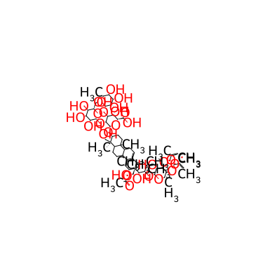 C/C=C(/C)C(=O)O[C@@H]1[C@@H](O)[C@H](O[C@H]2[C@H](O)[C@@]3(COC(C)=O)C(CC2(C)C)C2=CCC4[C@@]5(C)CC[C@H](O[C@@H]6O[C@H](C(=O)O)[C@@H](O)[C@H](O[C@H]7O[C@H](C)[C@@H](O)[C@H](O)[C@@H]7O)[C@H]6O[C@@H]6O[C@H](CO)[C@H](O)[C@H](O)[C@H]6O)[C@](C)(CO)C5CC[C@@]4(C)[C@]2(C)C[C@H]3O)O[C@H](C)[C@H]1OC(=O)/C(C)=C\C